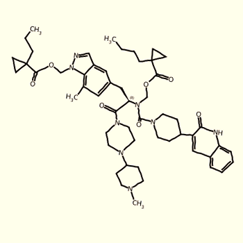 CCCCC1(C(=O)OCN(C(=O)N2CCC(c3cc4ccccc4[nH]c3=O)CC2)[C@H](Cc2cc(C)c3c(cnn3COC(=O)C3(CCC)CC3)c2)C(=O)N2CCN(C3CCN(C)CC3)CC2)CC1